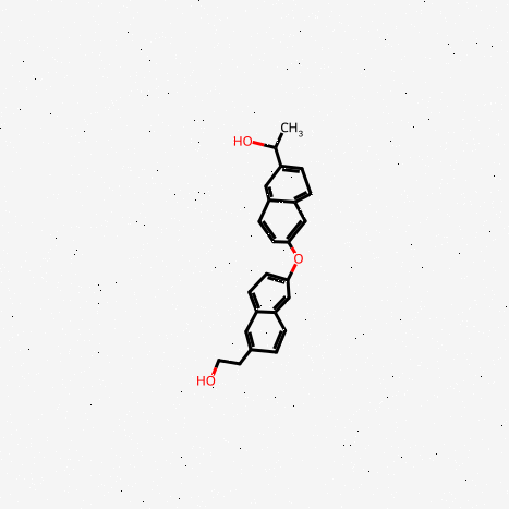 CC(O)c1ccc2cc(Oc3ccc4cc(CCO)ccc4c3)ccc2c1